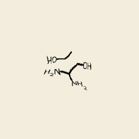 CCO.NC(N)CO